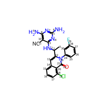 CC(Nc1nc(N)nc(N)c1C#N)c1cc2cccc(Cl)c2c(=O)n1-c1cccc(F)c1